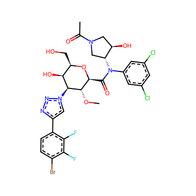 CO[C@@H]1[C@@H](n2cc(-c3ccc(Br)c(F)c3F)nn2)[C@@H](O)[C@@H](CO)O[C@H]1C(=O)N(c1cc(Cl)cc(Cl)c1)[C@@H]1CN(C(C)=O)C[C@H]1O